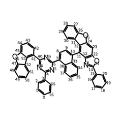 c1ccc(-c2nc(-c3ccc(-c4c5nc(-c6ccccc6)oc5cc5oc6ccccc6c45)c4ccccc34)nc(-c3cccc4oc5ccccc5c34)n2)cc1